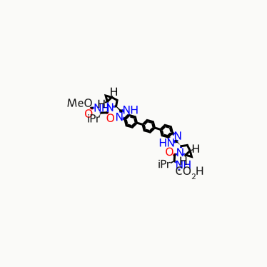 COC(=O)N[C@H](C(=O)N1[C@@H]2C[C@@H]2C[C@H]1c1nc2ccc(-c3ccc(-c4ccc5nc([C@@H]6C[C@H]7C[C@H]7N6C(=O)[C@@H](NC(=O)O)C(C)C)[nH]c5c4)cc3)cc2[nH]1)C(C)C